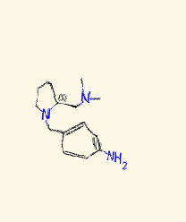 CN(C)C[C@@H]1CCCN1Cc1ccc(N)cc1